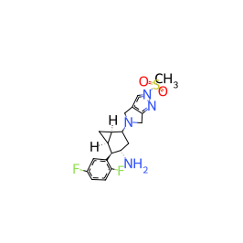 CS(=O)(=O)n1cc2c(n1)CN(C1C[C@H](N)[C@@H](c3cc(F)ccc3F)[C@H]3C[C@@H]13)C2